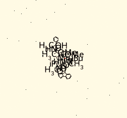 CC[C@H](C)C(C(CC(=O)N1CCC[C@H]1C(OC)[C@@H](C)C(=O)N[C@H](C)[C@@H](O)c1ccccc1)OC)N(C)C(=O)[C@@H](NC(=O)[C@H](C(C)C)N(C)C(=O)OCC1c2ccccc2-c2ccccc21)C(C)C